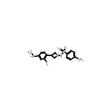 Cc1ccc(S(=O)(=O)ON2CC(c3ccc(OC(F)(F)F)cc3F)C2)cc1